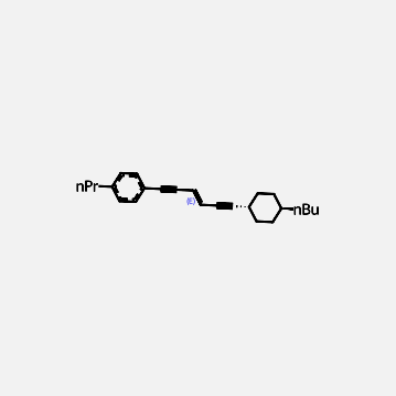 CCCC[C@H]1CC[C@H](C#C/C=C/C#Cc2ccc(CCC)cc2)CC1